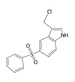 O=S(=O)(c1ccccc1)c1ccc2[nH]cc(CCl)c2c1